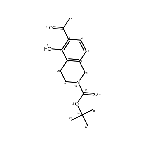 CC(=O)c1ccc2c(c1O)CCN(C(=O)OC(C)(C)C)C2